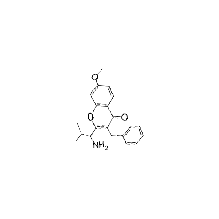 COc1ccc2c(=O)c(Cc3ccccc3)c(C(N)C(C)C)oc2c1